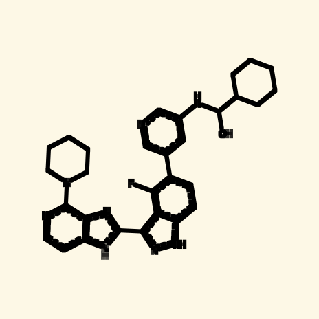 OC(Nc1cncc(-c2ccc3[nH]nc(-c4nc5c(N6CCCCC6)nccc5[nH]4)c3c2F)c1)C1CCCCC1